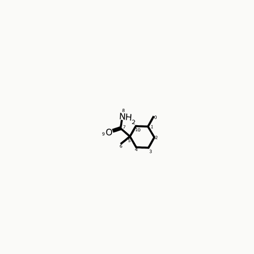 CC1CCCC(C)(C(N)=O)C1